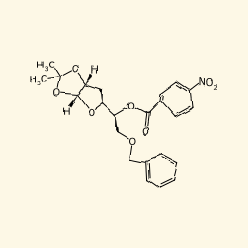 CC1(C)O[C@H]2O[C@H]([C@H](COCc3ccccc3)OC(=O)c3ccc([N+](=O)[O-])cc3)C[C@H]2O1